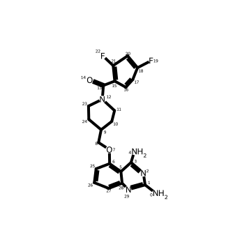 Nc1nc(N)c2c(OCC3CCN(C(=O)c4ccc(F)cc4F)CC3)cccc2n1